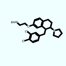 CNCCOc1ccc2c(c1)C(Cc1ccc(Cl)c(Cl)c1)C(N1CCCC1)CC2